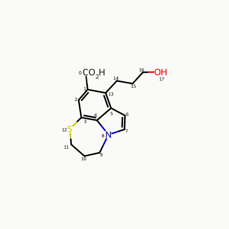 O=C(O)c1cc2c3c(ccn3CCCS2)c1CCCO